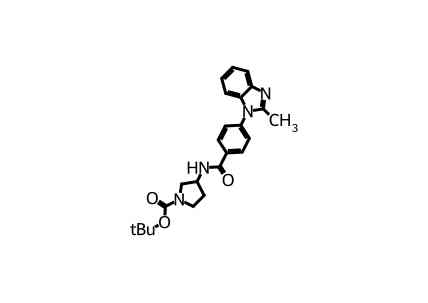 Cc1nc2ccccc2n1-c1ccc(C(=O)NC2CCN(C(=O)OC(C)(C)C)C2)cc1